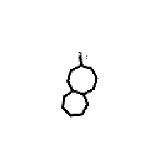 BC1CCCC2CCCCCC2CC1